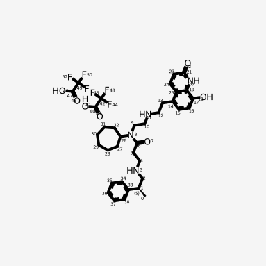 C[C@H](CNCCC(=O)N(CCNCCc1ccc(O)c2[nH]c(=O)ccc12)C1CCCCCC1)c1ccccc1.O=C(O)C(F)(F)F.O=C(O)C(F)(F)F